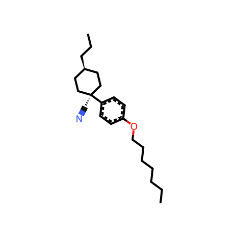 CCCCCCCOc1ccc([C@]2(C#N)CC[C@H](CCC)CC2)cc1